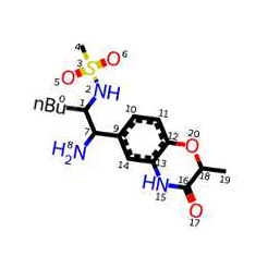 CCCCC(NS(C)(=O)=O)C(N)c1ccc2c(c1)NC(=O)C(C)O2